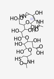 CC(=O)N/C(=C(\O)C1CN1)C(O)OC(CC(=O)O)C(O)C(O)C(O)OC(C(O)CC(=O)O)C(O)C(O)OCC(CS)NC(C)=O